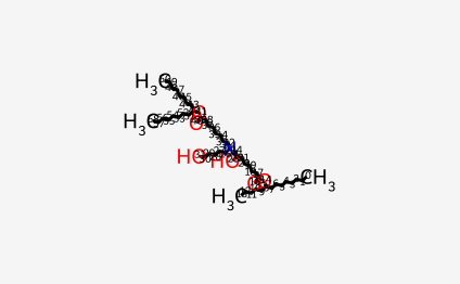 CCCCCCCCC(CCCCC)OC(=O)CCCCCC(O)CN(CCCCCO)CCCCCCCC(=O)OC(CCCCCCCC)CCCCCCCC